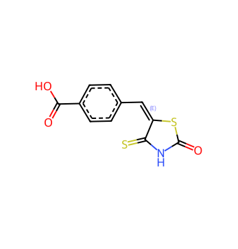 O=C1NC(=S)/C(=C\c2ccc(C(=O)O)cc2)S1